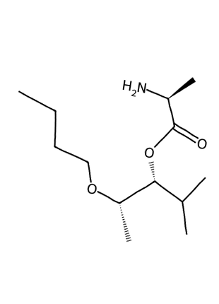 CCCCO[C@@H](C)[C@H](OC(=O)[C@H](C)N)C(C)C